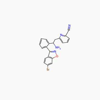 N#Cc1cccc(CC(N)c2ccccc2-c2noc3cc(Br)ccc23)n1